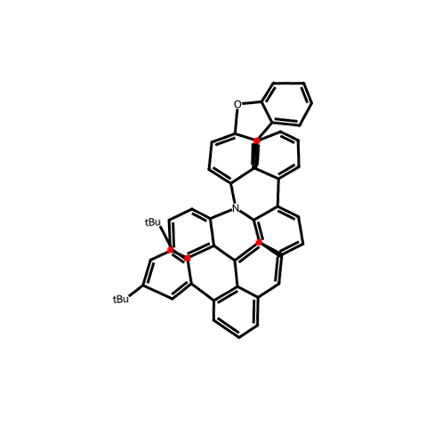 CC(C)(C)c1cc(-c2cccc3cccc(-c4ccccc4N(c4ccc5oc6ccccc6c5c4)c4ccccc4-c4ccccc4)c23)cc(C(C)(C)C)c1